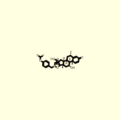 C[C@]12C=CC(=O)C=C1[C@@H](F)C[C@H]1[C@@H]3C[C@H]4CN(Cc5ccc(OC(F)F)cc5)O[C@@]4(C(=O)CO)[C@@]3(C)C[C@H](O)[C@@]12F